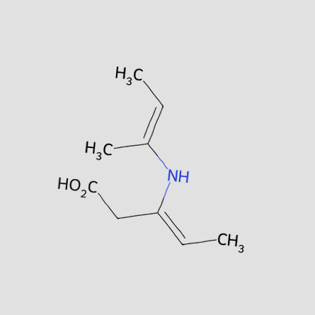 C/C=C(/CC(=O)O)N/C(C)=C/C